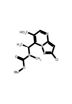 C[C@@H](c1c(C(=O)O)cnc2cc(Cl)nn12)N(C)C(=O)OC(C)(C)C